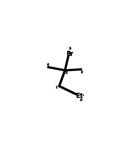 C[CH]CC(C)(C)Br